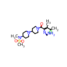 C=C(Cl)/C(C)=C(\N=C/N)C(=O)N1CCC(N2CCC(N(C)S(C)(=O)=O)CC2)CC1